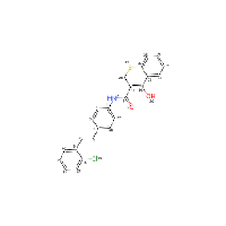 O=C(Nc1ccc(CCc2ccccc2Cl)cc1)C1=C(O)c2ccccc2SC1